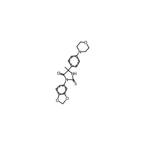 CC1(c2ccc(N3CCOCC3)cc2)NC(=S)N(c2ccc3c(c2)OCO3)C1=O